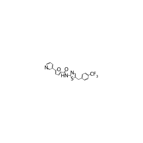 O=C(Nc1ncc(Cc2ccc(C(F)(F)F)cc2)s1)c1ccc(-c2cccnc2)o1